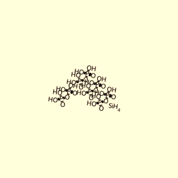 O=P(O)(O)OP(=O)(O)O.O=P(O)(O)OP(=O)(O)O.O=P(O)(O)OP(=O)(O)O.O=P(O)(O)OP(=O)(O)O.[SiH4]